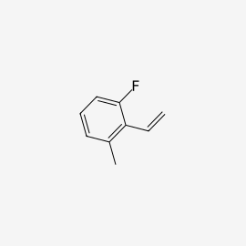 C=Cc1c(C)cccc1F